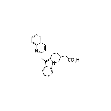 O=C(O)CC1CCc2c(Cc3ccc4ccccc4n3)c3ccccc3n2C1